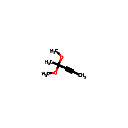 CC#CC(C)(OC)OC